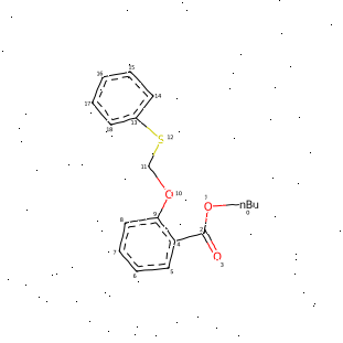 CCCCOC(=O)c1ccccc1OCSc1ccccc1